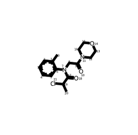 Cc1ccccc1N(CC(=O)N1CCOCC1)C(=O)C(C)Cl